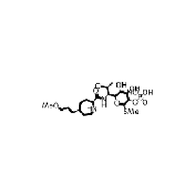 COCCC[C@@H]1CCN[C@H](C(=O)N[C@@H]([C@H]2O[C@H](SC)[C@H](OP(=O)(O)O)[C@@H](O)[C@H]2O)[C@H](C)Cl)CC1